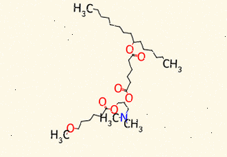 CCCCCCCCC(CCCCCC)OC(=O)CCCCC(=O)OC(COC(=O)CCCCCOC)CN(C)C